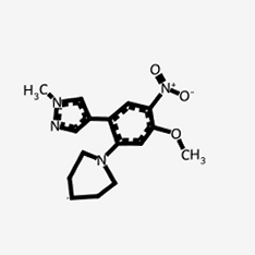 COc1cc(N2CC[CH]CC2)c(-c2cnn(C)c2)cc1[N+](=O)[O-]